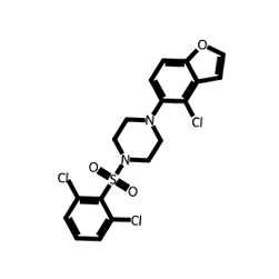 O=S(=O)(c1c(Cl)cccc1Cl)N1CCN(c2ccc3occc3c2Cl)CC1